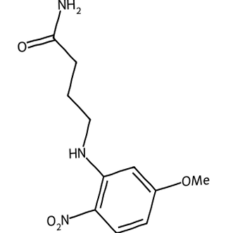 COc1ccc([N+](=O)[O-])c(NCCCC(N)=O)c1